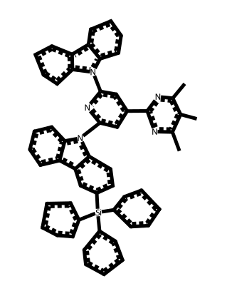 Cc1nc(-c2cc(-n3c4ccccc4c4ccccc43)nc(-n3c4ccccc4c4cc([Si](c5ccccc5)(c5ccccc5)c5ccccc5)ccc43)c2)nc(C)c1C